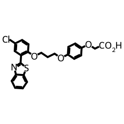 O=C(O)COc1ccc(OCCCOc2ccc(Cl)cc2-c2nc3ccccc3s2)cc1